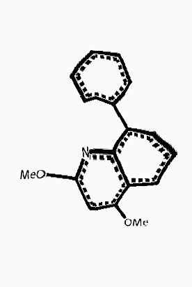 COc1cc(OC)c2cccc(-c3ccccc3)c2n1